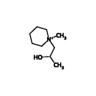 CC(O)C[N+]1(C)CCCCC1